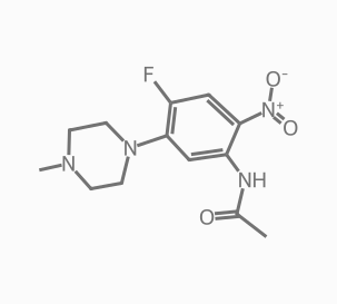 CC(=O)Nc1cc(N2CCN(C)CC2)c(F)cc1[N+](=O)[O-]